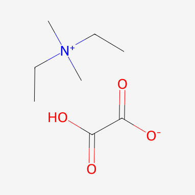 CC[N+](C)(C)CC.O=C([O-])C(=O)O